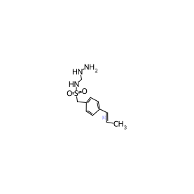 C/C=C/c1ccc(CS(=O)(=O)NCNN)cc1